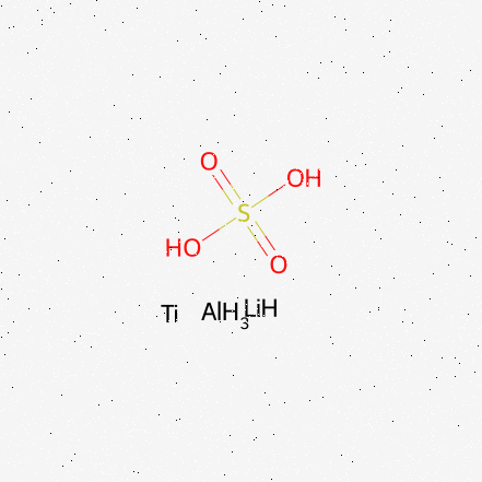 O=S(=O)(O)O.[AlH3].[LiH].[Ti]